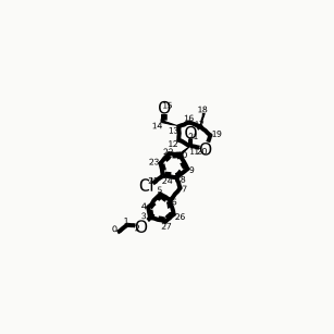 CCOc1ccc(Cc2cc([C@]34C[C@@H](C=O)C[C@](C)(CO3)O4)ccc2Cl)cc1